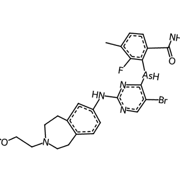 COCCN1CCc2ccc(Nc3ncc(Br)c([AsH]c4c(C(N)=O)ccc(C)c4F)n3)cc2CC1